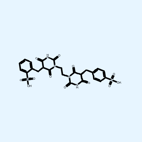 O=C1NC(=O)N(CCN2C(=O)NC(=O)C(Cc3ccccc3S(=O)(=O)O)C2=O)C(=O)C1Cc1ccc(S(=O)(=O)O)cc1